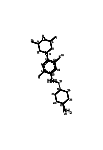 Cc1cc(N2CC(C)OC(C)C2)c(F)cc1NC[C@H]1CC[C@H](N)CC1